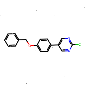 Clc1ncc(-c2ccc(OCc3ccccc3)cc2)cn1